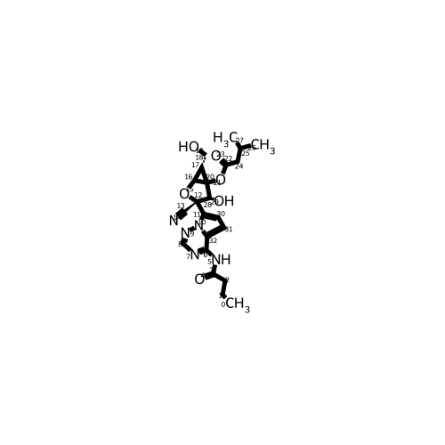 CCCC(=O)Nc1ncnn2c([C@]3(C#N)OC4[C@H](CO)C4(OC(=O)CC(C)C)[C@H]3O)ccc12